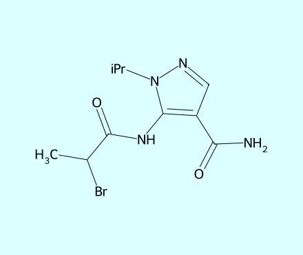 CC(Br)C(=O)Nc1c(C(N)=O)cnn1C(C)C